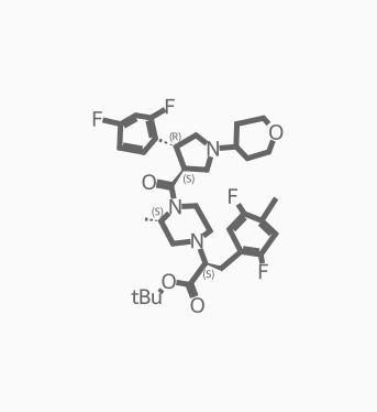 Cc1cc(F)c(C[C@@H](C(=O)OC(C)(C)C)N2CCN(C(=O)[C@@H]3CN(C4CCOCC4)C[C@H]3c3ccc(F)cc3F)[C@@H](C)C2)cc1F